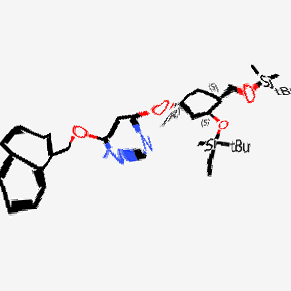 CC(C)(C)[Si](C)(C)OC[C@@H]1C[C@@H](Oc2cc(OCc3cccc4ccccc34)ncn2)C[C@@H]1O[Si](C)(C)C(C)(C)C